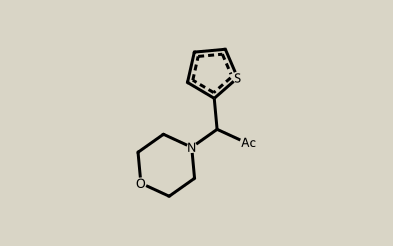 CC(=O)C(c1cccs1)N1CCOCC1